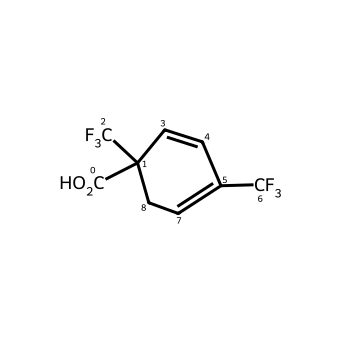 O=C(O)C1(C(F)(F)F)C=CC(C(F)(F)F)=CC1